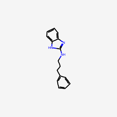 c1ccc(CCCNc2nc3ccccc3[nH]2)cc1